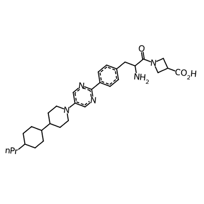 CCCC1CCC(C2CCN(c3cnc(-c4ccc(CC(N)C(=O)N5CC(C(=O)O)C5)cc4)nc3)CC2)CC1